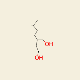 CC(C)CCC(CO)CCO